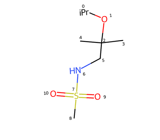 CC(C)OC(C)(C)CNS(C)(=O)=O